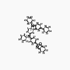 C1=CC2C(C=C1N(c1ccccc1)c1ccc(-c3nc4ccccc4o3)cc1)c1cc(-c3ccccc3)ccc1N2c1ccccc1